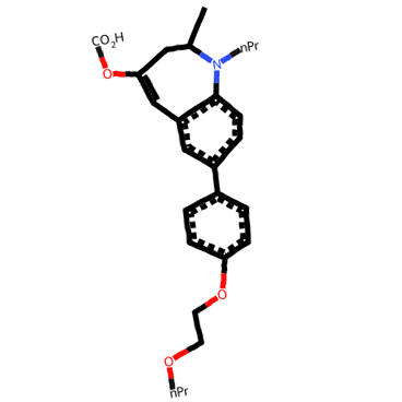 CCCOCCOc1ccc(-c2ccc3c(c2)C=C(OC(=O)O)CC(C)N3CCC)cc1